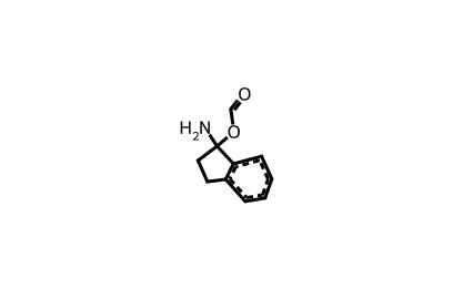 NC1(OC=O)CCc2ccccc21